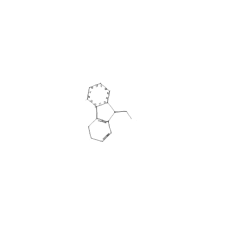 CC(=O)OCC1C2=C(CCC=C2)c2ccccc21